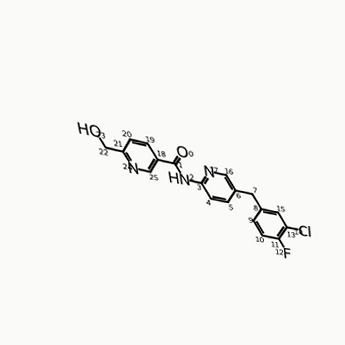 O=C(Nc1ccc(Cc2ccc(F)c(Cl)c2)cn1)c1ccc(CO)nc1